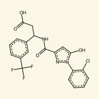 O=C(O)CC(NC(=O)c1cc(O)n(-c2ccccc2Cl)n1)c1cccc(C(F)(F)F)c1